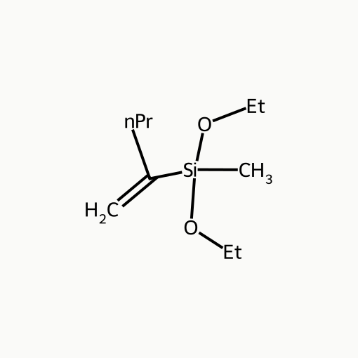 C=C(CCC)[Si](C)(OCC)OCC